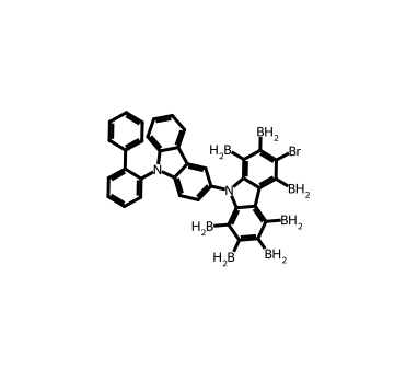 Bc1c(B)c(B)c2c(c1B)c1c(B)c(Br)c(B)c(B)c1n2-c1ccc2c(c1)c1ccccc1n2-c1ccccc1-c1ccccc1